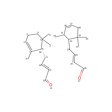 CC1=CCCC(C)(C)[C@@H]1CC=CC=O.CC1C=CCC(C)(C)C1CC=CC=O